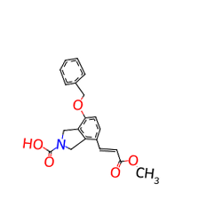 COC(=O)C=Cc1ccc(OCc2ccccc2)c2c1CN(C(=O)O)C2